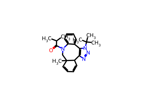 CC(C)C(=O)N1CC2(C)C=CC=CC2c2nnn(C(C)(C)C)c2-c2ccccc21